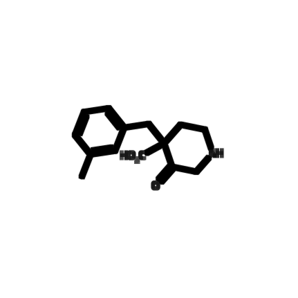 Cc1cccc(CC2(C(=O)O)CCNCC2=O)c1